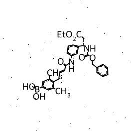 CCOC(=O)C[C@@H](NC(=O)OCc1ccccc1)c1cccc(NC(=O)/C=C/Cc2c(C)cc(B(O)O)cc2C)c1